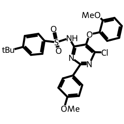 COc1ccc(-c2nc(Cl)c(Oc3ccccc3OC)c(NS(=O)(=O)c3ccc(C(C)(C)C)cc3)n2)cc1